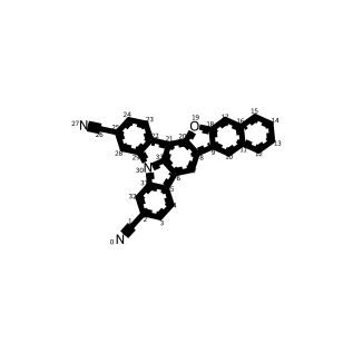 N#Cc1ccc2c3cc4c5cc6ccccc6cc5oc4c4c5ccc(C#N)cc5n(c2c1)c34